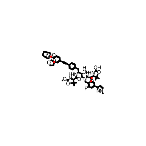 COC(=O)NC(C(=O)NC(Cc1ccc(C#Cc2ccc(N3CC4CCC(C3)N4C(=O)[C@@H]3CCCO3)nc2)cc1)C(O)CN(Cc1c(F)cc(-c2ccn(C)n2)cc1F)NC(=O)C(NC(=O)O)C(C)(C)C)C(C)(C)C